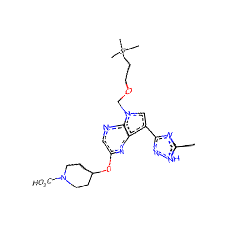 Cc1nc(-c2cn(COCC[Si](C)(C)C)c3ncc(OC4CCN(C(=O)O)CC4)nc23)n[nH]1